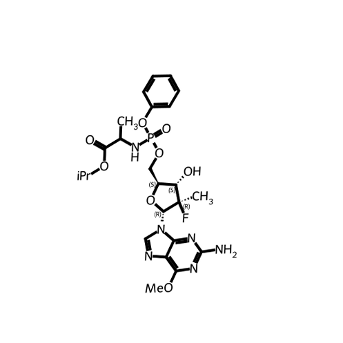 COc1nc(N)nc2c1ncn2[C@@H]1O[C@@H](COP(=O)(NC(C)C(=O)OC(C)C)Oc2ccccc2)[C@H](O)[C@@]1(C)F